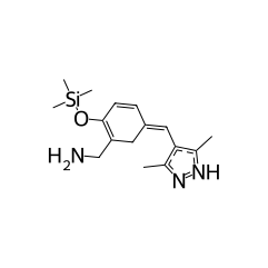 Cc1n[nH]c(C)c1C=C1C=CC(O[Si](C)(C)C)=C(CN)C1